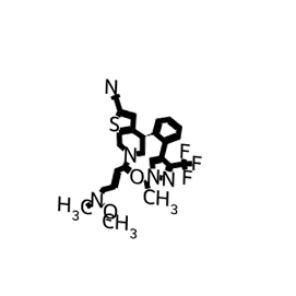 CCn1cc(-c2ccccc2[C@@H]2CN(C(=O)/C=C/CN(C)OC)Cc3sc(C#N)cc32)c(C(F)(F)F)n1